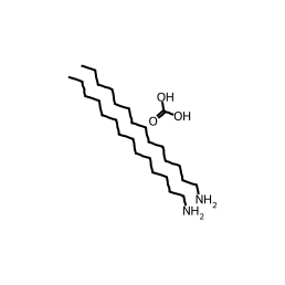 CCCCCCCCCCCCCCN.CCCCCCCCCCCCCCN.O=C(O)O